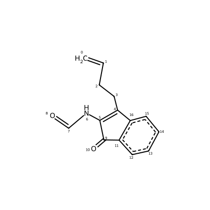 C=CCCC1=C(NC=O)C(=O)c2ccccc21